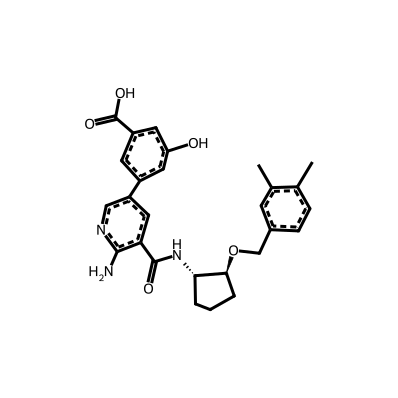 Cc1ccc(CO[C@H]2CCC[C@@H]2NC(=O)c2cc(-c3cc(O)cc(C(=O)O)c3)cnc2N)cc1C